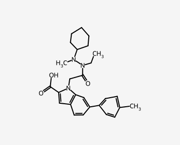 CCN(C(=O)Cn1c(C(=O)O)cc2ccc(-c3ccc(C)cc3)cc21)N(C)C1CCCCC1